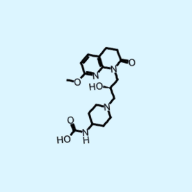 COc1ccc2c(n1)N(C[C@H](O)CN1CCC(NC(=O)O)CC1)C(=O)CC2